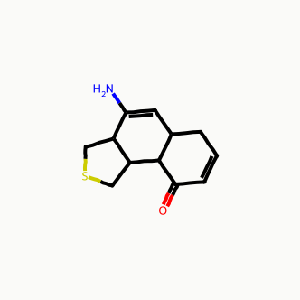 NC1=CC2CC=CC(=O)C2C2CSCC12